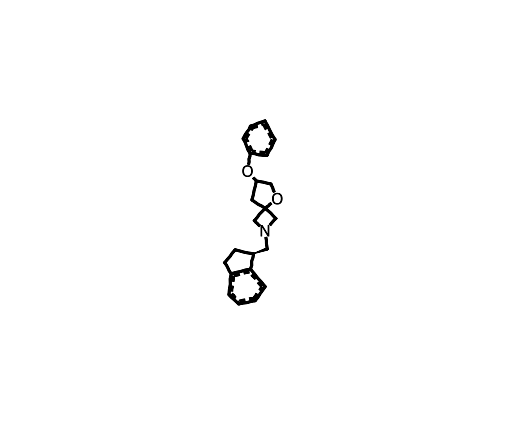 c1ccc(OC2COC3(C2)CN(C[C@@H]2CCc4ccccc42)C3)cc1